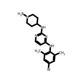 BN1CCC(Nc2nccc(Nc3c(C)cc(Br)cc3C)n2)CC1